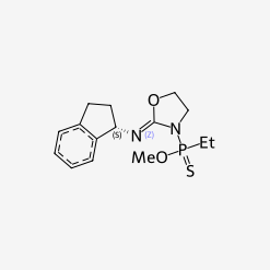 CCP(=S)(OC)N1CCO/C1=N\[C@H]1CCc2ccccc21